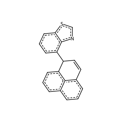 C1=CC(c2cccc3scnc23)c2cccc3cccc1c23